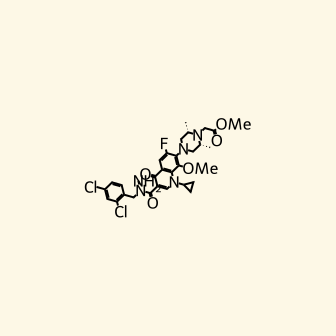 COC(=O)CN1[C@H](C)CN(c2c(F)cc3c(=O)c(C(=O)N(N)Cc4ccc(Cl)cc4Cl)cn(C4CC4)c3c2OC)C[C@@H]1C